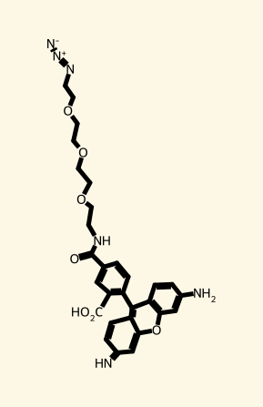 [N-]=[N+]=NCCOCCOCCOCCNC(=O)c1ccc(-c2c3ccc(=N)cc-3oc3cc(N)ccc23)c(C(=O)O)c1